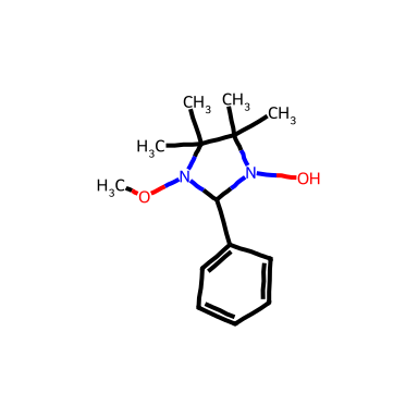 CON1C(c2ccccc2)N(O)C(C)(C)C1(C)C